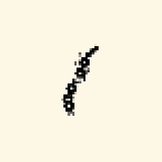 C/C=C/CCc1ccc(-c2ccc(OCc3ccc(C4CCC5CC(CCC)CCC5C4)cc3)c(F)c2F)c(F)c1F